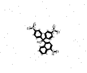 CCNc1ccc(C(O)(c2ccc(N(CC)CC)cc2)c2ccc(N(CC)CC)cc2)c2ccccc12